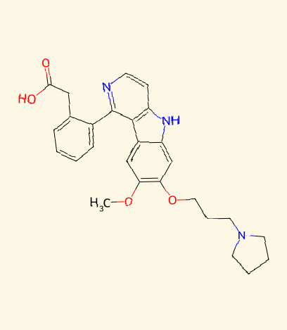 COc1cc2c(cc1OCCCN1CCCC1)[nH]c1ccnc(-c3ccccc3CC(=O)O)c12